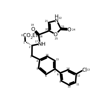 CCOC(=O)C[C@@H](Cc1ccc(-c2cccc(Cl)c2)cc1)NC(=O)c1c[nH]c(=O)o1